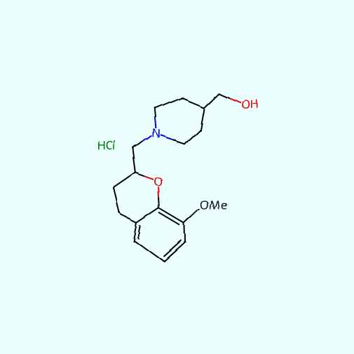 COc1cccc2c1OC(CN1CCC(CO)CC1)CC2.Cl